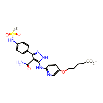 CCS(=O)(=O)Nc1ccc(-c2n[nH]c(Nc3ccc(OCCCCC(=O)O)cn3)c2C(N)=O)cc1